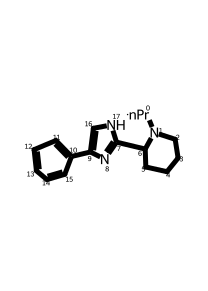 CC[CH]N1CCCCC1c1nc(-c2ccccc2)c[nH]1